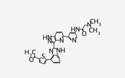 CC(=O)c1ccc(-c2cccc3[nH]c(-c4n[nH]c5ccc(-c6cncc(NC(=O)CN(C)C)c6)nc45)nc23)s1